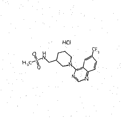 CS(=O)(=O)NCC1CCCN(c2ncnc3ccc(C(F)(F)F)cc23)C1.Cl